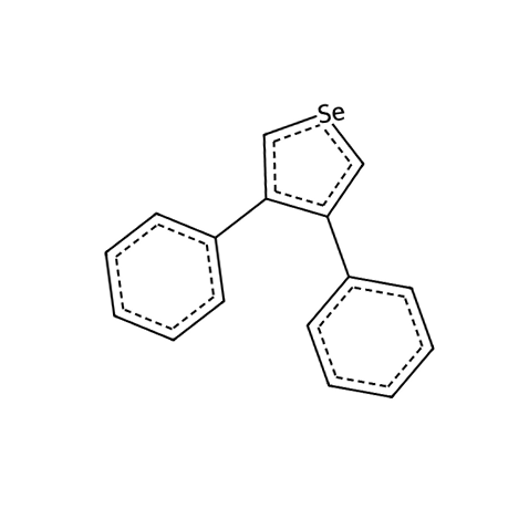 c1ccc(-c2c[se]cc2-c2ccccc2)cc1